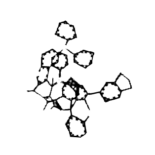 CC1C2=C3C(C)C4=C1C(C)c1sc5ccc(N(c6ccccc6)c6ccccc6)cc5c1C4(C)N(c1ccccc1)c1cc(-c4ccc5c(c4)CCC5)c4c(c1)C3(c1ccccc1O4)c1ccccc12